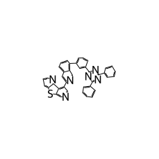 c1ccc(-c2nc(-c3ccccc3)nc(-c3cccc(-c4cccc5cc(-c6cncc7sc8cccnc8c67)ncc45)c3)n2)cc1